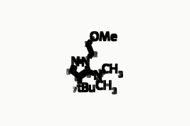 COCCn1ncc(C(C)(C)C)c1N(C)C